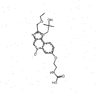 CCOCc1nc2c[n+]([O-])c3cc(OCCNC(=O)O)ccc3c2n1CC(C)(C)O